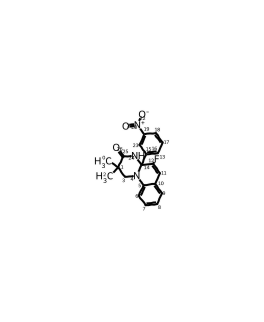 CC1(C)CN2c3ccccc3C=C(F)C2(c2cccc([N+](=O)[O-])c2)NC1=O